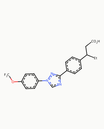 CCC(CC(=O)O)c1ccc(-c2ncn(-c3ccc(OC(F)(F)F)cc3)n2)cc1